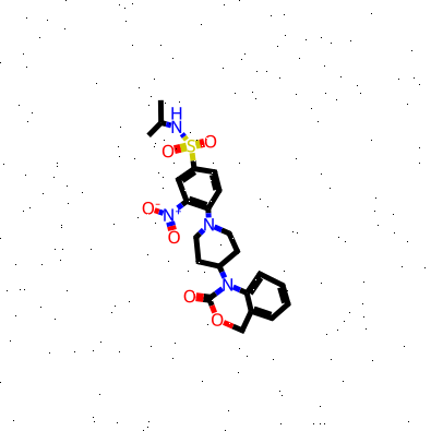 CC(C)NS(=O)(=O)c1ccc(N2CCC(N3C(=O)OCc4ccccc43)CC2)c([N+](=O)[O-])c1